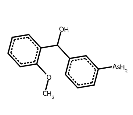 COc1ccccc1C(O)c1cccc([AsH2])c1